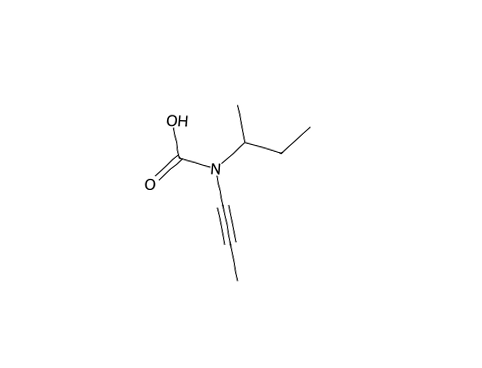 CC#CN(C(=O)O)C(C)CC